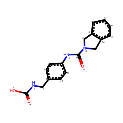 O=C(O)NCc1ccc(NC(=O)N2Cc3ccccc3C2)cc1